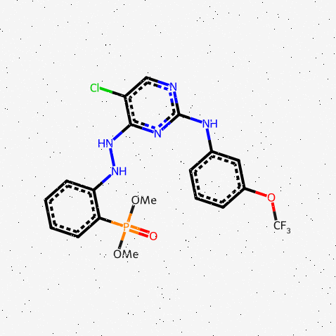 COP(=O)(OC)c1ccccc1NNc1nc(Nc2cccc(OC(F)(F)F)c2)ncc1Cl